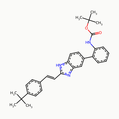 CC(C)(C)OC(=O)Nc1ccccc1-c1ccc2[nH]c(C=Cc3ccc(C(C)(C)C)cc3)nc2c1